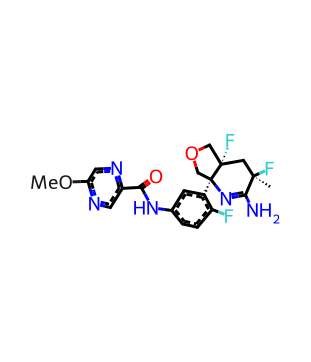 COc1cnc(C(=O)Nc2ccc(F)c([C@]34COC[C@@]3(F)C[C@@](C)(F)C(N)=N4)c2)cn1